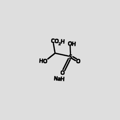 O=C(O)C(O)S(=O)(=O)O.[NaH]